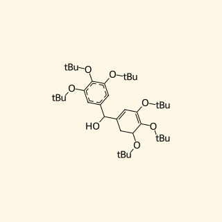 CC(C)(C)OC1=C(OC(C)(C)C)C(OC(C)(C)C)CC(C(O)c2cc(OC(C)(C)C)c(OC(C)(C)C)c(OC(C)(C)C)c2)=C1